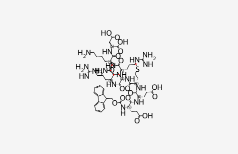 CSCC[C@H](NC(=O)[C@H](CCC(=O)O)NC(=O)[C@H](CCC(=O)O)NC(=O)OCC1c2ccccc2-c2ccccc21)C(=O)N[C@@H](CCC(N)=O)C(=O)N[C@@H](CCCNC(=N)N)C(=O)N[C@@H](CCCNC(=N)N)C(=O)N[C@@H](CCCCN)C(=O)N[C@@H](CC(=O)O)C(=O)O